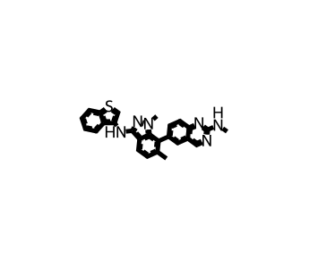 CNc1ncc2cc(-c3c(C)ccc4c(Nc5csc6ccccc56)nn(C)c34)ccc2n1